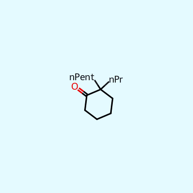 CCCCCC1(CCC)CCCCC1=O